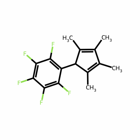 CC1=C(C)C(c2c(F)c(F)c(F)c(F)c2F)C(C)=C1C